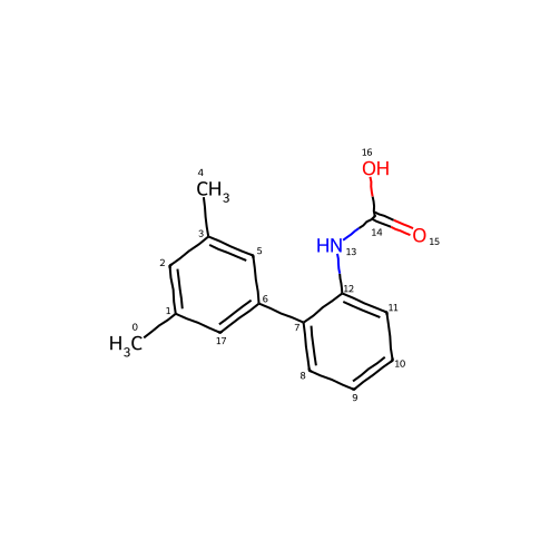 Cc1cc(C)cc(-c2ccccc2NC(=O)O)c1